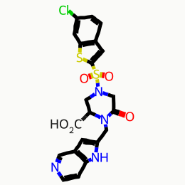 O=C(O)C1CN(S(=O)(=O)c2cc3ccc(Cl)cc3s2)CC(=O)N1Cc1cc2cnccc2[nH]1